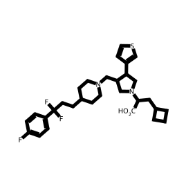 O=C(O)C(CC1CCC1)N1CC(CN2CCC(CCC(F)(F)c3ccc(F)cc3)CC2)C(c2ccsc2)C1